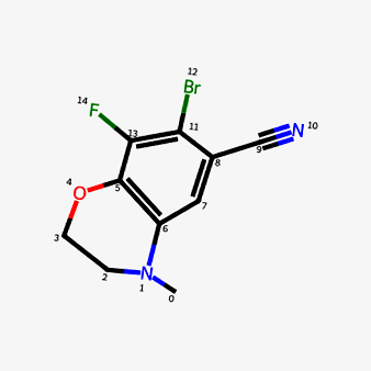 CN1CCOc2c1cc(C#N)c(Br)c2F